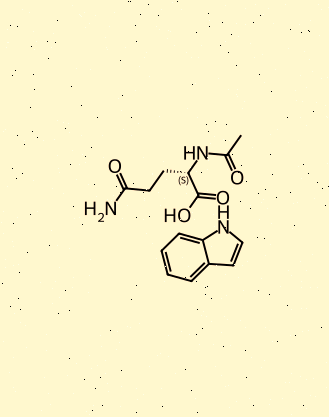 CC(=O)N[C@@H](CCC(N)=O)C(=O)O.c1ccc2[nH]ccc2c1